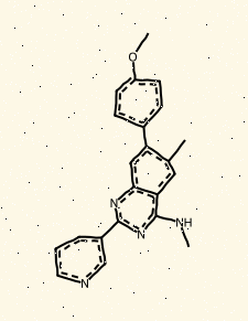 CNc1nc(-c2cccnc2)nc2cc(-c3ccc(OC)cc3)c(C)cc12